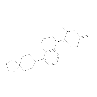 O=C1CC[C@@H](N2CCOc3c(C4CCC5(CC4)OCCO5)cccc32)C(=O)N1